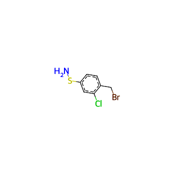 NSc1ccc(CBr)c(Cl)c1